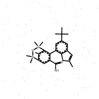 CC1=Cc2cc(C(C)(C)C)cc(-c3c(C([NH])=O)cc4c(C)c3[Si](C)(C)O[Si]4(C)C)c2C1